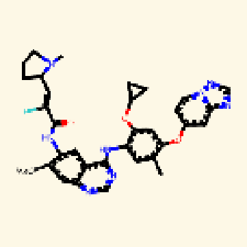 COc1cc2ncnc(Nc3cc(C)c(Oc4ccn5ncnc5c4)cc3OC3CC3)c2cc1NC(=O)C(F)=CC1CCCN1C